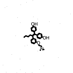 CCCCC(=C(c1ccc(O)cc1)c1ccc(O)cc1)c1cccc(OCCN(C)C)c1